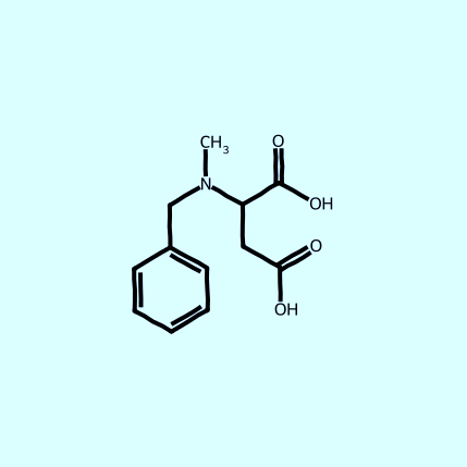 CN(Cc1ccccc1)C(CC(=O)O)C(=O)O